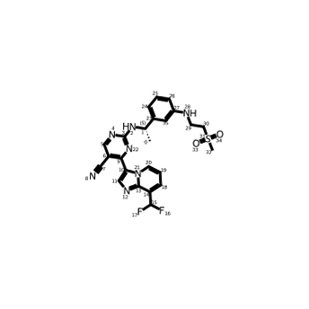 C[C@H](Nc1ncc(C#N)c(-c2cnc3c(C(F)F)cccn23)n1)c1cccc(NCCS(C)(=O)=O)c1